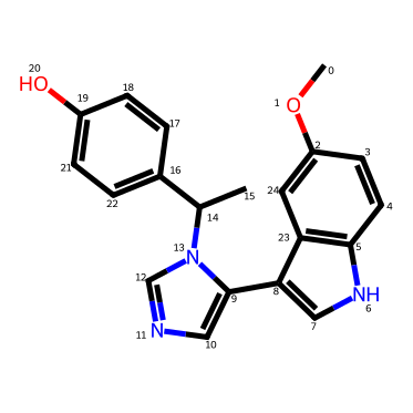 COc1ccc2[nH]cc(-c3cncn3C(C)c3ccc(O)cc3)c2c1